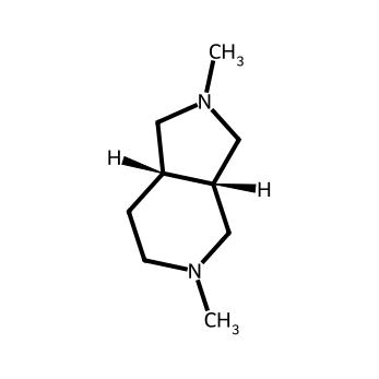 CN1CC[C@@H]2CN(C)C[C@@H]2C1